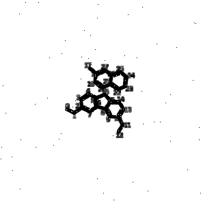 CCc1ccc2c(c1)-c1cc(CC)ccc1C2.Cc1ccc2ccccc2c1